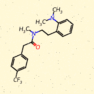 CN(CCc1ccccc1N(C)C)C(=O)Cc1ccc(C(F)(F)F)cc1